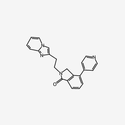 O=C1c2cccc(-c3ccncc3)c2CN1CCc1cn2ccccc2n1